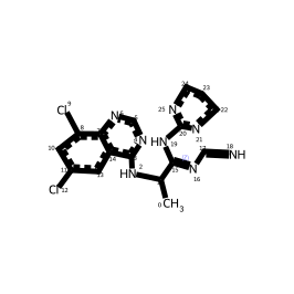 CC(Nc1ncnc2c(Cl)cc(Cl)cc12)/C(=N/C=N)Nc1ncccn1